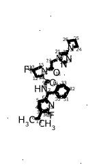 CC(C)c1ccc([C@@H](NC(=O)[C@@H]2C[C@@H](F)CN2C(=O)Cn2cc(N3CCC3)nn2)c2ccccc2)nc1F